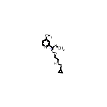 C=N/C(=N\OCCNSC1CC1)c1cc(C)ccn1